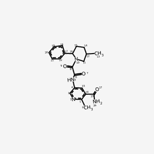 Cc1ncc(NC(=O)C(=O)N2CC(C)CCC2c2ccccc2)cc1C(N)=O